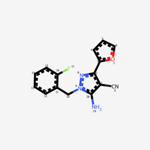 N#Cc1c(-c2ccco2)nn(Cc2ccccc2F)c1N